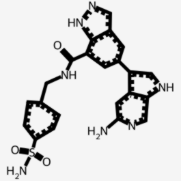 Nc1cc2c(-c3cc(C(=O)NCc4ccc(S(N)(=O)=O)cc4)c4[nH]ncc4c3)c[nH]c2cn1